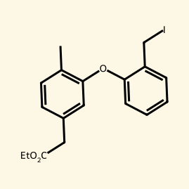 CCOC(=O)Cc1ccc(C)c(Oc2ccccc2CI)c1